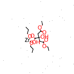 CCC[O][Zr][O]CCC.CCOC(=O)CC(O)(CC(=O)OCC)C(=O)O